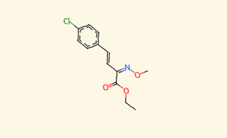 CCOC(=O)C(/C=C/c1ccc(Cl)cc1)=NOC